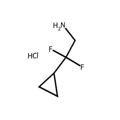 Cl.NCC(F)(F)C1CC1